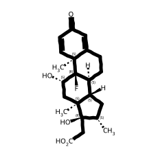 C[C@H]1C[C@H]2[C@@H]3CCC4=CC(=O)C=C[C@]4(C)[C@@]3(F)[C@@H](O)C[C@]2(C)[C@@]1(O)CC(=O)O